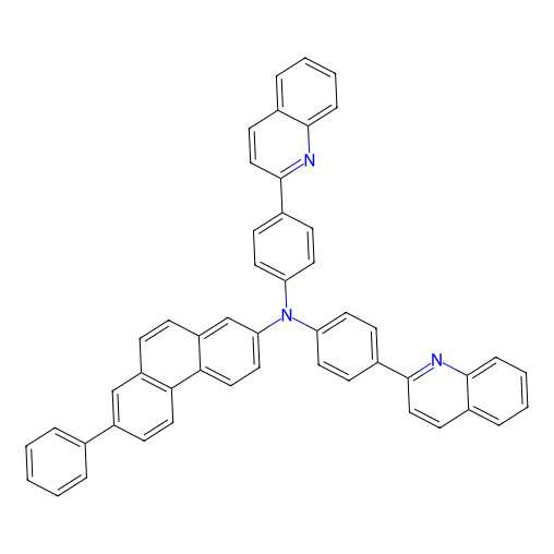 c1ccc(-c2ccc3c(ccc4cc(N(c5ccc(-c6ccc7ccccc7n6)cc5)c5ccc(-c6ccc7ccccc7n6)cc5)ccc43)c2)cc1